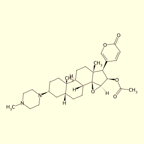 CC(=O)O[C@H]1[C@H]2O[C@]23[C@@H]2CC[C@@H]4C[C@@H](N5CCN(C)CC5)CC[C@]4(C)[C@H]2CC[C@]3(C)[C@H]1c1ccc(=O)oc1